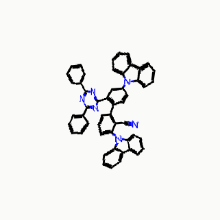 N#Cc1c(-c2ccc(-n3c4ccccc4c4ccccc43)cc2-c2nc(-c3ccccc3)nc(-c3ccccc3)n2)cccc1-n1c2ccccc2c2ccccc21